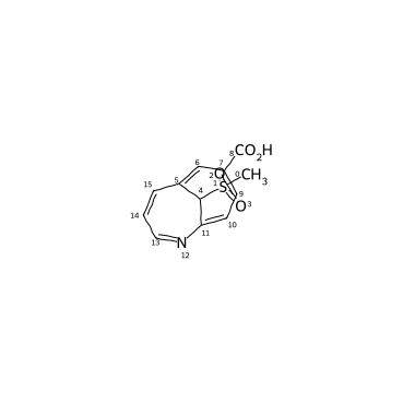 CS(=O)(=O)C1C2=CC(C(=O)O)=CC=C1N=CC=C2